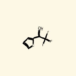 OC(c1ccco1)C(F)(F)F